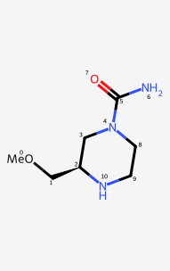 COC[C@H]1CN(C(N)=O)CCN1